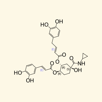 O=C(/C=C/c1ccc(O)c(O)c1)O[C@@H]1CC[C@@](O)(C(=O)NC2CC2)C[C@H]1OC(=O)/C=C/Cc1ccc(O)c(O)c1